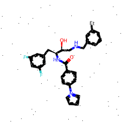 CCc1cccc(CNC[C@H](O)[C@H](Cc2cc(F)cc(F)c2)NC(=O)c2ccc(-n3cccc3)cc2)c1